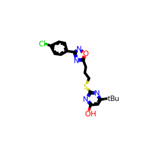 CC(C)(C)c1cc(O)nc(SCCCc2nc(-c3ccc(Cl)cc3)no2)n1